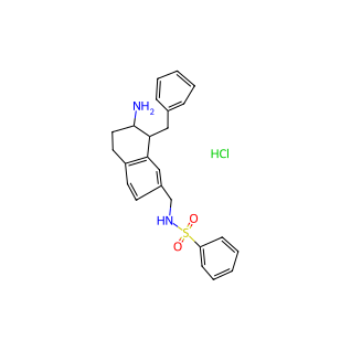 Cl.NC1CCc2ccc(CNS(=O)(=O)c3ccccc3)cc2C1Cc1ccccc1